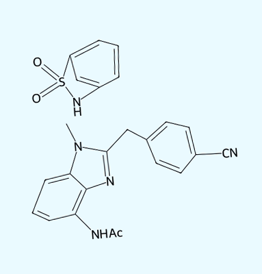 CC(=O)Nc1cccc2c1nc(Cc1ccc(C#N)cc1)n2C.O=S1(=O)Nc2cccc1c2